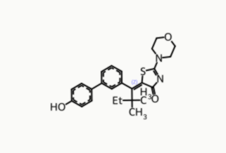 CCC(C)(C)/C(=C1/SC(N2CCOCC2)=NC1=O)c1cccc(-c2ccc(O)cc2)c1